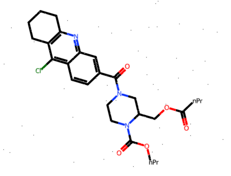 CCCOC(=O)N1CCN(C(=O)c2ccc3c(Cl)c4c(nc3c2)CCCC4)CC1COC(=O)CCC